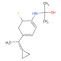 CC(C1=CC=C(NC(C)(C)O)C(F)C1)=C1CC1